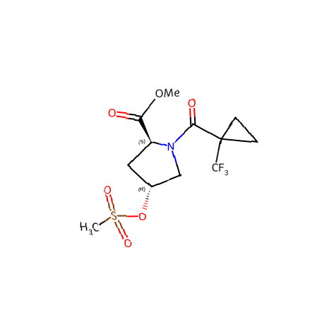 COC(=O)[C@@H]1C[C@@H](OS(C)(=O)=O)CN1C(=O)C1(C(F)(F)F)CC1